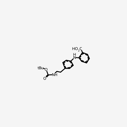 CC(C)(C)OC(=O)NCCc1ccc(Nc2ccccc2C(=O)O)cc1